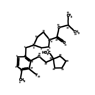 Cc1ccc(CN2CCN(C(=O)OC(C)C(F)(F)F)CC2)c(OCC2(C(=O)O)CCCC2)c1F